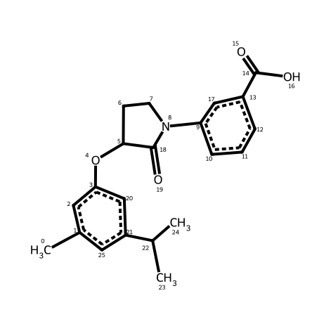 Cc1cc(OC2CCN(c3cccc(C(=O)O)c3)C2=O)cc(C(C)C)c1